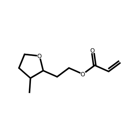 C=CC(=O)OCCC1OCCC1C